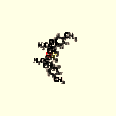 Cc1ccc([C@@H](C[S+]([O-])C[C@H](c2ccc(C)cc2)[Si](C)(C)C)[Si](C)(C)C)cc1